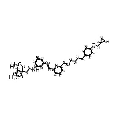 CCC(CC)(CCNc1cccc(C=Cc2cccc(COCCCCc3ccc(OCC4CC4)cc3)n2)c1)C(=O)O